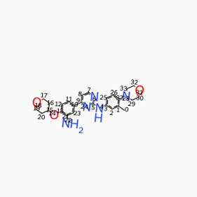 Cc1cc(Nc2nccc(-c3ccc(OC4CCOCC4)c(N)c3)n2)ccc1N1CCOCC1